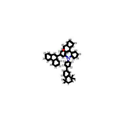 CC1(C)CCC(C)(C)c2cc(-c3ccc(N(c4cccc(-c5cc6ccccc6c6ccccc56)c4)c4ccccc4-c4cccc5ccccc45)cc3)ccc21